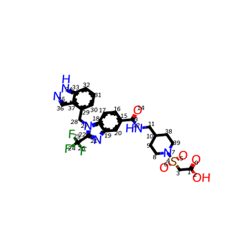 O=C(O)CS(=O)(=O)N1CCC(CNC(=O)c2ccc3c(c2)nc(C(F)(F)F)n3Cc2cccc3[nH]ncc23)CC1